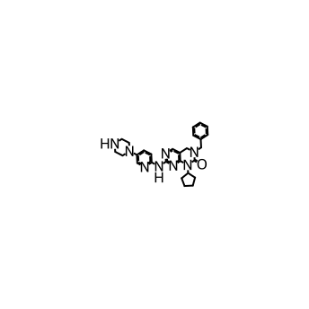 O=C1N(Cc2ccccc2)Cc2cnc(Nc3ccc(N4CCNCC4)cn3)nc2N1C1CCCC1